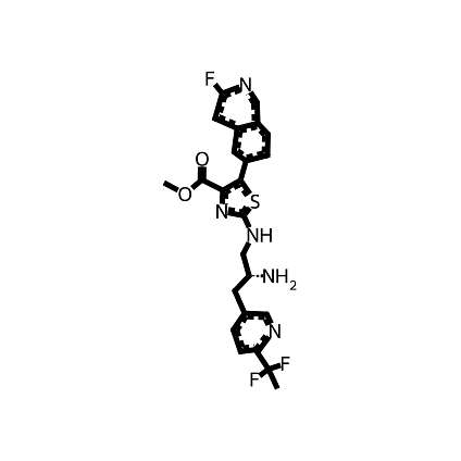 COC(=O)c1nc(NC[C@H](N)Cc2ccc(C(C)(F)F)nc2)sc1-c1ccc2cnc(F)cc2c1